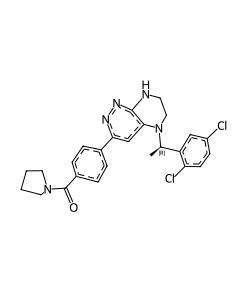 C[C@H](c1cc(Cl)ccc1Cl)N1CCNc2nnc(-c3ccc(C(=O)N4CCCC4)cc3)cc21